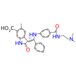 Cc1cc2c(cc1C(=O)O)NC(=O)/C2=C(/Nc1ccc(C(=O)NCCN(C)C)cc1)c1ccccc1